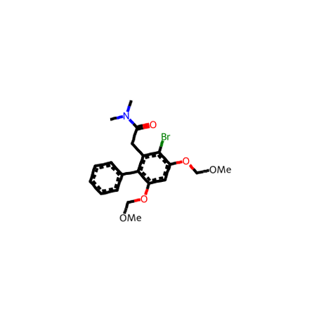 COCOc1cc(OCOC)c(-c2ccccc2)c(CC(=O)N(C)C)c1Br